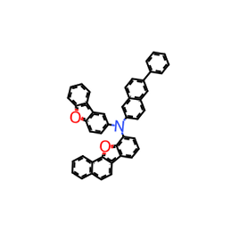 c1ccc(-c2ccc3cc(N(c4ccc5oc6ccccc6c5c4)c4cccc5c4oc4c6ccccc6ccc54)ccc3c2)cc1